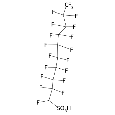 O=S(=O)(O)C(F)C(F)(F)C(F)(F)C(F)(F)C(F)(F)C(F)(F)C(F)(F)C(F)(F)C(F)(F)C(F)(F)F